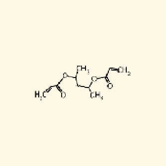 C=CC(=O)OC(C)[CH]C(C)OC(=O)C=C